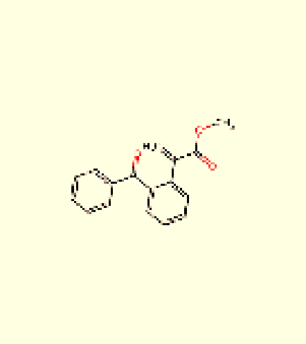 C=C(C(=O)OC)c1ccccc1C(=O)c1ccccc1